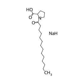 CCCCCCCCCCCCCC(=O)N1CCCC1C(=O)O.[NaH]